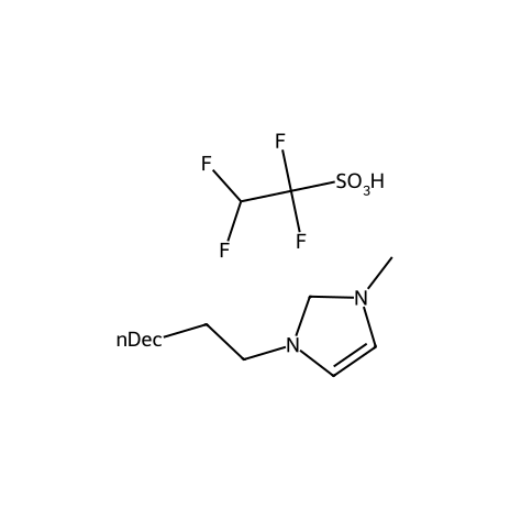 CCCCCCCCCCCCN1C=CN(C)C1.O=S(=O)(O)C(F)(F)C(F)F